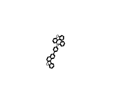 c1ccc(N(c2ccc(-c3ccc4c(ccc5oc6ccccc6c54)c3)cc2)c2cccc3oc4ccccc4c23)cc1